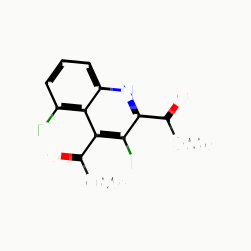 COC(=O)c1nc2cccc(F)c2c(C(=O)OC)c1F